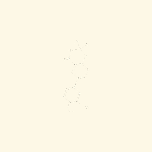 COc1ccc(-c2cnc3c(n2)C(=O)NC(N)(N)N3)cc1OC